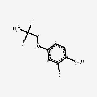 CC(F)(F)COc1ccc(C(=O)O)c(F)c1